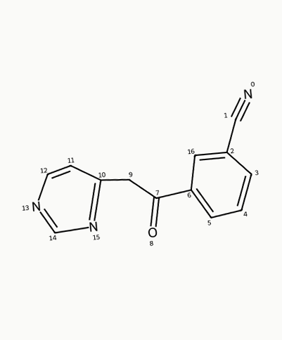 N#Cc1cccc(C(=O)Cc2ccncn2)c1